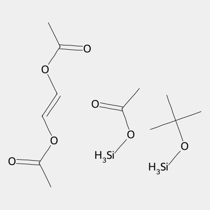 CC(=O)OC=COC(C)=O.CC(=O)O[SiH3].CC(C)(C)O[SiH3]